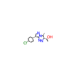 C=C(O)c1nnc2c(-c3ccc(Cl)cc3)cnn2c1C